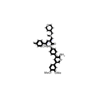 COc1ccc(-c2cnc(N)c(-c3ccc(NC(=O)C(/C=C(\C=O)c4ccc(C)cc4)=C/N(C)CC4CCOCC4)cc3)c2)cc1OC